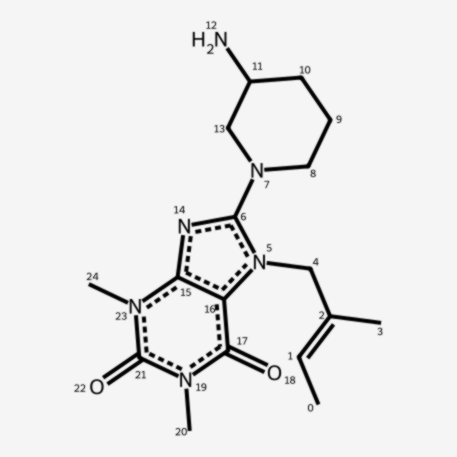 CC=C(C)Cn1c(N2CCCC(N)C2)nc2c1c(=O)n(C)c(=O)n2C